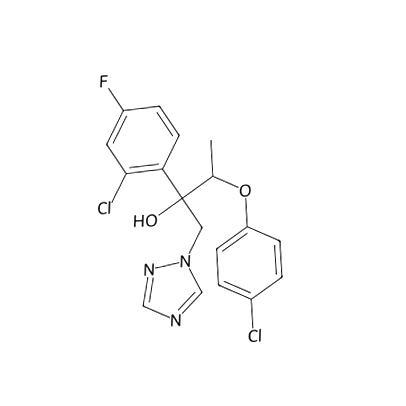 CC(Oc1ccc(Cl)cc1)C(O)(Cn1cncn1)c1ccc(F)cc1Cl